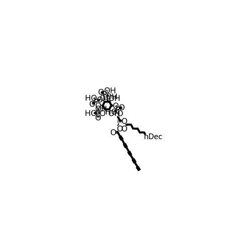 C#CC#CC#CC#CC#CC(=O)OC[C@H](COP(=O)(O)OC1C(O)C(OP(=O)(O)O)[C@H](OP(=O)(O)O)C(OP(=O)(O)O)[C@@H]1O)OC(=O)CCCCCCCCCCCCCCC